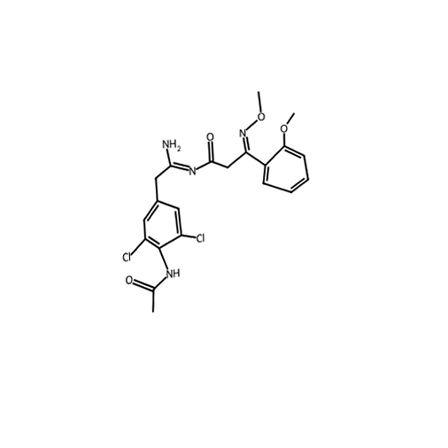 CON=C(CC(=O)N=C(N)Cc1cc(Cl)c(NC(C)=O)c(Cl)c1)c1ccccc1OC